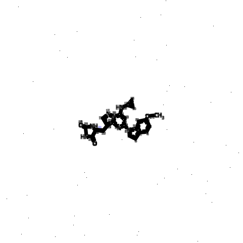 COc1ccc2ccn(-c3cc(NC4CC4)n4ncc(/C=C5\NC(=O)NC5=O)c4n3)c2c1